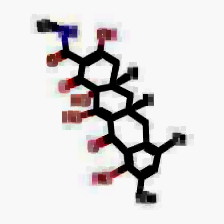 CCc1cc(C(C)(C)C)c(O)c2c1C[C@H]1C[C@H]3CC(O)=C(C(=O)NC(C)(C)C)C(=O)[C@@]3(O)C(O)=C1C2=O